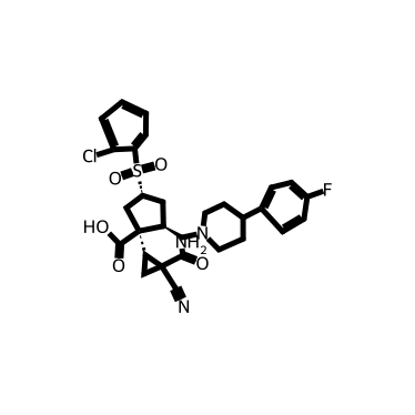 N#CC1(C(N)=O)CC1[C@]1(C(=O)O)C[C@H](S(=O)(=O)c2ccccc2Cl)C[C@H]1CN1CCC(c2ccc(F)cc2)CC1